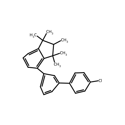 CC1C(C)(C)c2cccc(-c3cccc(-c4ccc(Cl)cc4)c3)c2C1(C)C